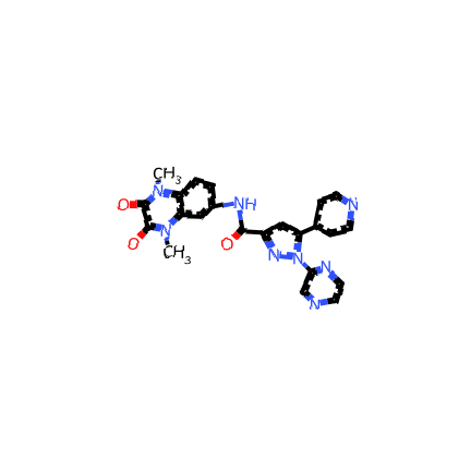 Cn1c(=O)c(=O)n(C)c2cc(NC(=O)c3cc(-c4ccncc4)n(-c4cnccn4)n3)ccc21